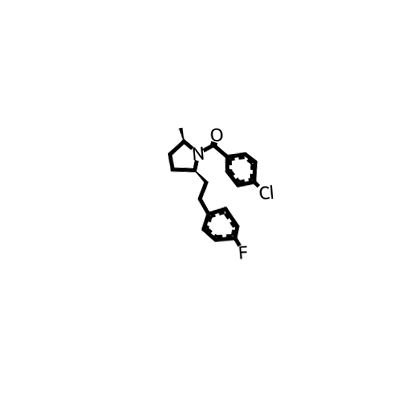 C[C@@H]1CC[C@H](CCc2ccc(F)cc2)N1C(=O)c1ccc(Cl)cc1